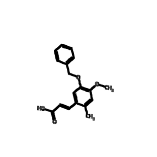 COc1cc(C)c(C=CC(=O)O)cc1OCc1ccccc1